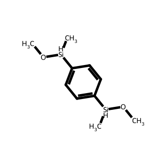 CO[SiH](C)c1ccc([SiH](C)OC)cc1